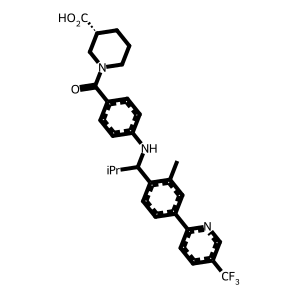 Cc1cc(-c2ccc(C(F)(F)F)cn2)ccc1C(Nc1ccc(C(=O)N2CCC[C@@H](C(=O)O)C2)cc1)C(C)C